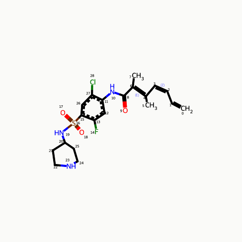 C=C/C=C\C(C)=C(/C)C(=O)Nc1cc(F)c(S(=O)(=O)NC2CCNCC2)cc1Cl